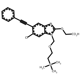 C[Si](C)(C)CCOCn1c(OCC(=O)O)nc2cc(C#Cc3ccccc3)c(Cl)cc21